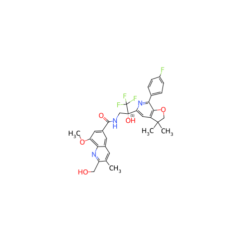 COc1cc(C(=O)NC[C@](O)(c2cc3c(c(-c4ccc(F)cc4)n2)OCC3(C)C)C(F)(F)F)cc2cc(C)c(CO)nc12